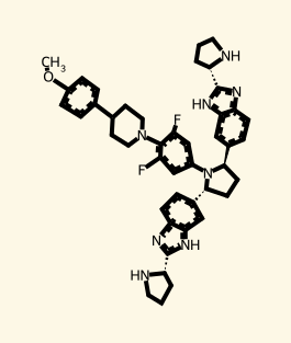 COc1ccc(C2CCN(c3c(F)cc(N4[C@@H](c5ccc6nc([C@@H]7CCCN7)[nH]c6c5)CC[C@@H]4c4ccc5nc([C@@H]6CCCN6)[nH]c5c4)cc3F)CC2)cc1